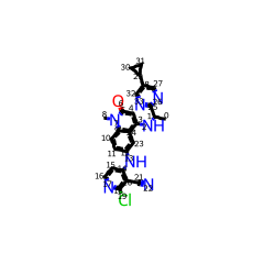 CC(Nc1cc(=O)n(C)c2ccc(Nc3ccnc(Cl)c3C#N)cc12)c1ncc(C2CC2)cn1